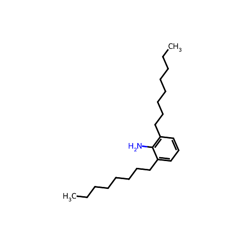 CCCCCCCCc1cccc(CCCCCCCC)c1N